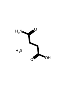 NC(=O)CCC(=O)O.S